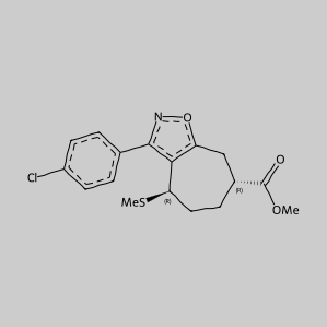 COC(=O)[C@@H]1CC[C@@H](SC)c2c(-c3ccc(Cl)cc3)noc2C1